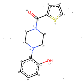 O=C(c1cccs1)N1CCN(c2ccccc2O)CC1